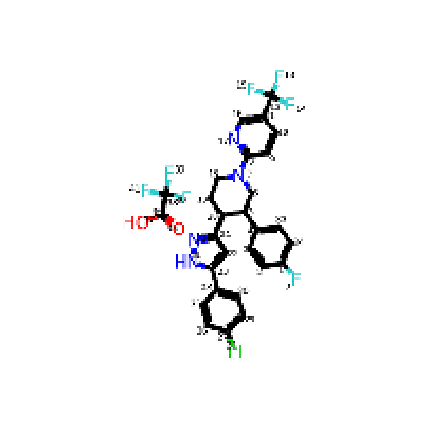 Fc1ccc(C2CN(c3ccc(C(F)(F)F)cn3)CCC2c2cc(-c3ccc(Cl)cc3)[nH]n2)cc1.O=C(O)C(F)(F)F